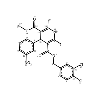 CC1=C(C(=O)OCc2ccc(Cl)c(Cl)c2)C(c2cccc([N+](=O)[O-])c2)C(C(=O)OC(C)C)=C(C)N1